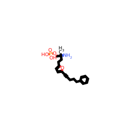 CC(N)(CCc1ccc(C#CCCCc2ccccc2)o1)COP(=O)(O)O